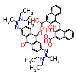 CCN(CC)C(C)=Nc1ccc2c(c1)C(=O)c1ccc(N=C(C)N(CC)CC)cc1C2=O.O=C(O)c1cc2ccccc2c(Cc2c(O)c(C(=O)O)cc3ccccc23)c1O